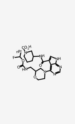 CCCC(F)OC(=O)NCC1CN(c2ncnc3[nH]cc(C(=O)NC4CCCN(C(=O)O)C4)c23)CCO1